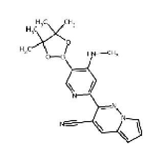 CNc1cc(-c2nn3cccc3cc2C#N)ncc1B1OC(C)(C)C(C)(C)O1